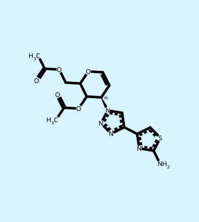 CC(=O)OCC1OC=C[C@@H](n2cc(-c3csc(N)n3)nn2)C1OC(C)=O